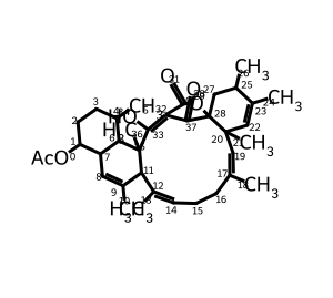 CC(=O)OC1CCC(C)C2C1C=C(C)C1C(C)=CCCC(C)=CC3(C)C=C(C)C(C)CC34OC(=O)C(=C(O)C12C)C4=O